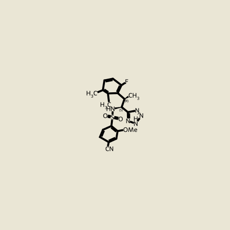 COc1cc(C#N)ccc1S(=O)(=O)N[C@H](c1nn[nH]n1)[C@H](C)c1c(F)ccc(C)c1C